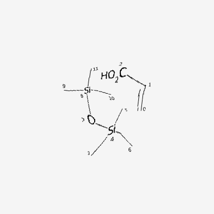 C=CC(=O)O.C[Si](C)(C)O[Si](C)(C)C